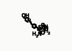 NC(=O)Nc1sc(-c2ccc(CCN3CCC(CO)CC3)cc2)cc1C(N)=O